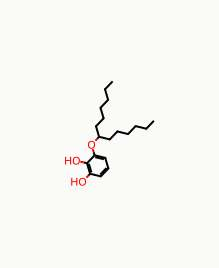 CCCCCCC(CCCCCC)Oc1cccc(O)c1O